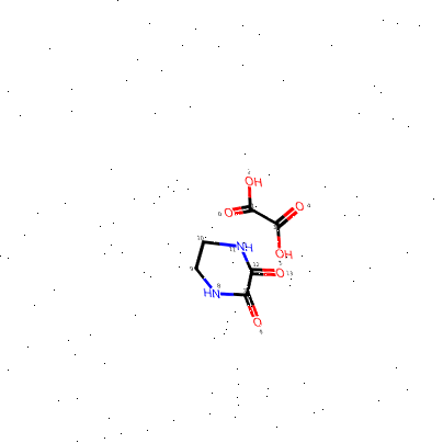 O=C(O)C(=O)O.O=C1NCCNC1=O